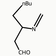 C=NC(CC=O)CCCCC